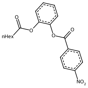 CCCCCCC(=O)Oc1ccccc1OC(=O)c1ccc([N+](=O)[O-])cc1